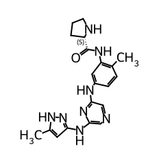 Cc1cc(Nc2cncc(Nc3ccc(C)c(NC(=O)[C@@H]4CCCN4)c3)n2)n[nH]1